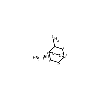 Br.Br.NC1CN2CCC1CC2